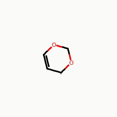 [C]1C=COCO1